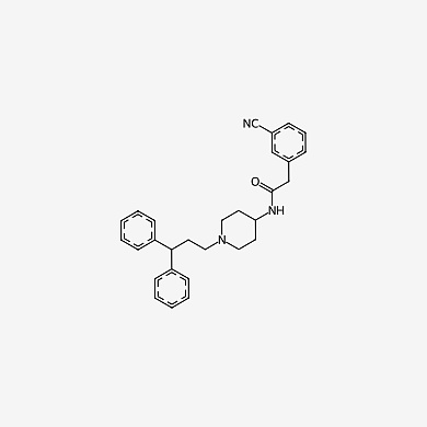 N#Cc1cccc(CC(=O)NC2CCN(CCC(c3ccccc3)c3ccccc3)CC2)c1